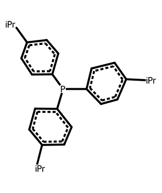 CC(C)c1ccc(P(c2ccc(C(C)C)cc2)c2ccc(C(C)C)cc2)cc1